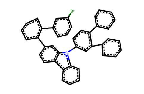 Brc1cccc(-c2ccccc2-c2ccc3c4ccccc4n(-c4ccc(-c5ccccc5)c(-c5ccccc5)c4)c3c2)c1